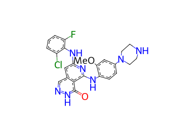 COc1cc(N2CCNCC2)ccc1Nc1nc(Nc2c(F)cccc2Cl)cc2cn[nH]c(=O)c12